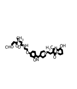 Cc1nc2n(c(=O)c1CCN1CCC(c3noc4cc(OCCNC(=O)CN(C)C(=O)/C=C\C=O)ccc34)CC1)CCCC2O